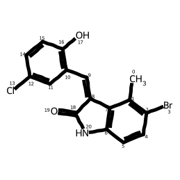 Cc1c(Br)ccc2c1C(=Cc1cc(Cl)ccc1O)C(=O)N2